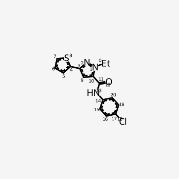 CCn1nc(-c2cccs2)cc1C(=O)Nc1ccc(Cl)cc1